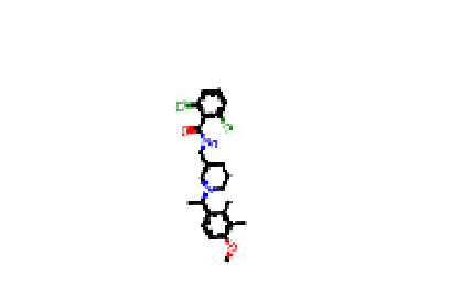 COc1ccc(C(C)N2CCCC(CNC(=O)c3c(Cl)cccc3Cl)C2)c(C)c1C